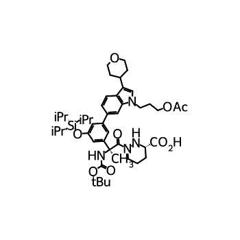 CC(=O)OCCCn1cc(C2CCOCC2)c2ccc(-c3cc(O[Si](C(C)C)(C(C)C)C(C)C)cc([C@](C)(NC(=O)OC(C)(C)C)C(=O)N4CCC[C@@H](C(=O)O)N4)c3)cc21